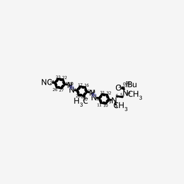 CC[C@@H](C)C(=O)N(C)CCN(C)c1ccc(/N=N/c2ccc(/N=N/c3ccc(C#N)cc3)cc2C)cc1